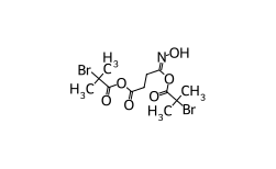 CC(C)(Br)C(=O)OC(=O)CC/C(=N/O)OC(=O)C(C)(C)Br